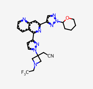 N#CCC1(n2ccc(-c3nc(-c4cnn(C5CCCCO5)n4)cc4ncccc34)n2)CN(CC(F)(F)F)C1